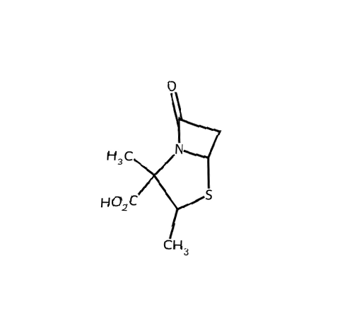 CC1SC2CC(=O)N2C1(C)C(=O)O